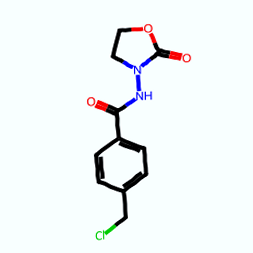 O=C(NN1CCOC1=O)c1ccc(CCl)cc1